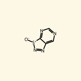 [O-][s+]1nnc2cncnc21